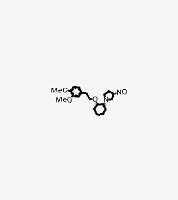 COc1ccc(CCO[C@@H]2CCCC[C@H]2N2CC[C@H](N=O)C2)cc1OC